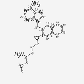 COCC(N)CCCOc1cc2ccccc2cc1Cn1cnc2c(N)ncnc21